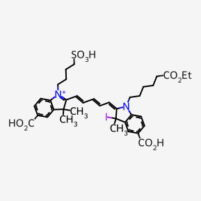 CCOC(=O)CCCCCN1/C(=C/C=C/C=C/C2=[N+](CCCCS(=O)(=O)O)c3ccc(C(=O)O)cc3C2(C)C)C(C)(I)c2cc(C(=O)O)ccc21